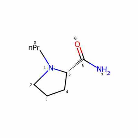 CCCN1CCC[C@H]1C(N)=O